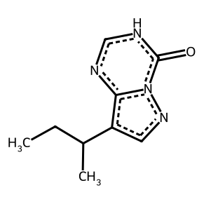 CCC(C)c1cnn2c(=O)[nH]cnc12